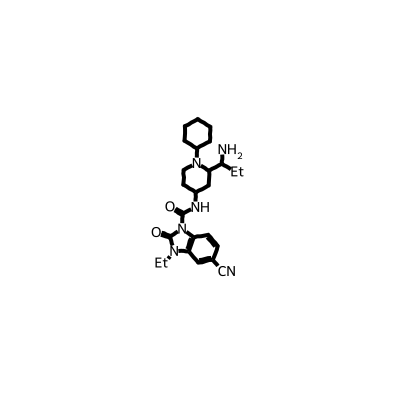 CCC(N)C1CC(NC(=O)n2c(=O)n(CC)c3cc(C#N)ccc32)CCN1C1CCCCC1